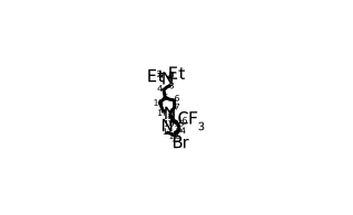 CCN(CC)CCC1CCN(c2ncc(Br)cc2C(F)(F)F)CC1